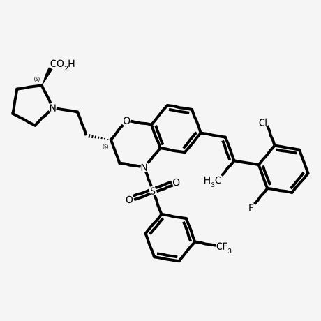 CC(=Cc1ccc2c(c1)N(S(=O)(=O)c1cccc(C(F)(F)F)c1)C[C@H](CCN1CCC[C@H]1C(=O)O)O2)c1c(F)cccc1Cl